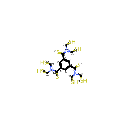 S=C(c1cc(C(=S)N(CS)CS)cc(C(=S)N(CS)CS)c1)N(CS)CS